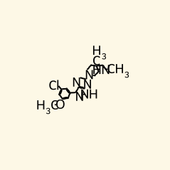 CNCC1(C)CCN(c2cnc3c(-c4cc(Cl)cc(OC)c4)n[nH]c3n2)CC1